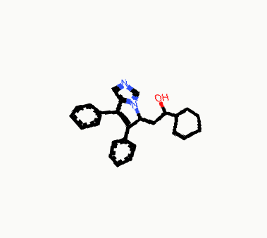 OC(CC1C(c2ccccc2)=C(c2ccccc2)c2cncn21)C1CCCCC1